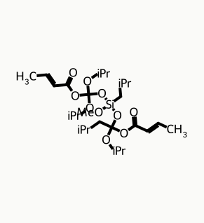 CC=CC(=O)OC(CC(C)C)(OC(C)C)O[Si](CC(C)C)(OC)OC(OC(=O)C=CC)(OC(C)C)OC(C)C